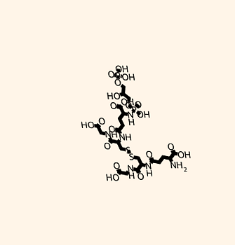 NC(CCC(=O)NC(CSSCC(NC(=O)CCC(NP(=O)(O)OCC(O)COP(=O)(O)O)C(=O)O)C(=O)NCC(=O)O)C(=O)NCC(=O)O)C(=O)O